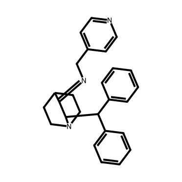 c1ccc(C(c2ccccc2)C2C(=NCc3ccncc3)C3CCN2CC3)cc1